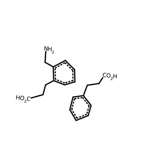 NCc1ccccc1CCC(=O)O.O=C(O)CCc1ccccc1